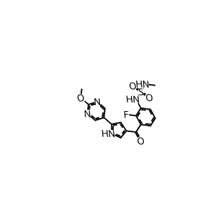 CNS(=O)(=O)Nc1cccc(C(=O)c2c[nH]c(-c3cnc(OC)nc3)c2)c1F